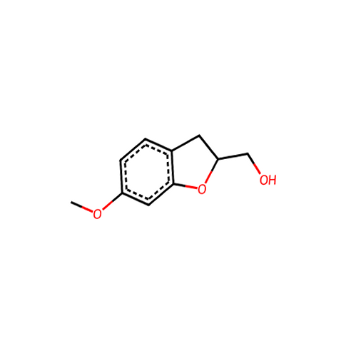 COc1ccc2c(c1)OC(CO)C2